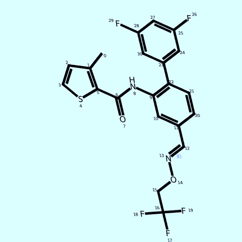 Cc1ccsc1C(=O)Nc1cc(/C=N/OCC(F)(F)F)ccc1-c1cc(F)cc(F)c1